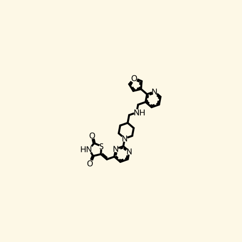 O=C1NC(=O)C(=Cc2ccnc(N3CCC(CNCc4cccnc4-c4ccoc4)CC3)n2)S1